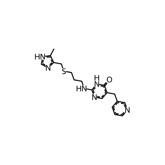 Cc1[nH]cnc1CSCCCNc1ncc(Cc2cccnc2)c(=O)[nH]1